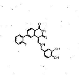 O=C1NC(=O)c2ccc(-c3ccccc3F)cc2C1=CNCc1ccc(O)c(O)c1